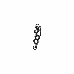 O=C[C@@H]1CCc2cc([C@H]3CC[C@]4(COCN4)C3)ccc2C1